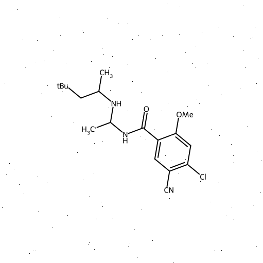 COc1cc(Cl)c(C#N)cc1C(=O)NC(C)NC(C)CC(C)(C)C